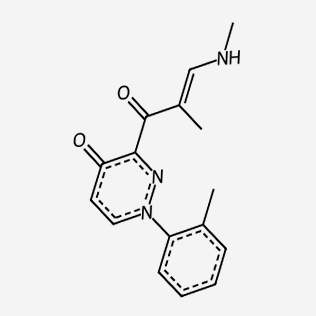 CN/C=C(\C)C(=O)c1nn(-c2ccccc2C)ccc1=O